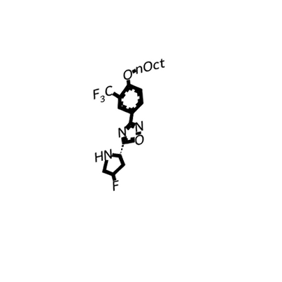 CCCCCCCCOc1ccc(-c2noc([C@@H]3CC(F)CN3)n2)cc1C(F)(F)F